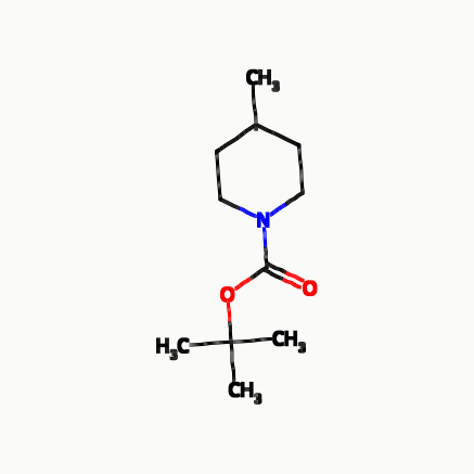 C[C]1CCN(C(=O)OC(C)(C)C)CC1